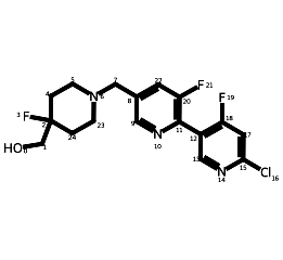 OCC1(F)CCN(Cc2cnc(-c3cnc(Cl)cc3F)c(F)c2)CC1